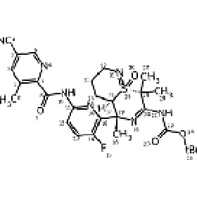 Cc1cc(C#N)cnc1C(=O)Nc1ccc(F)c([C@@]2(C)N=C(NC(=O)OC(C)(C)C)C(C)(C)[S@@]3(=O)=NCCC[C@H]23)n1